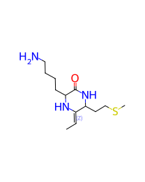 C/C=C1\NC(CCCCN)C(=O)NC1CCSC